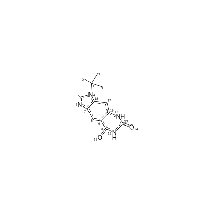 CC(C)(C)n1cnc2cc3c(=O)[nH]c(=O)[nH]c3cc21